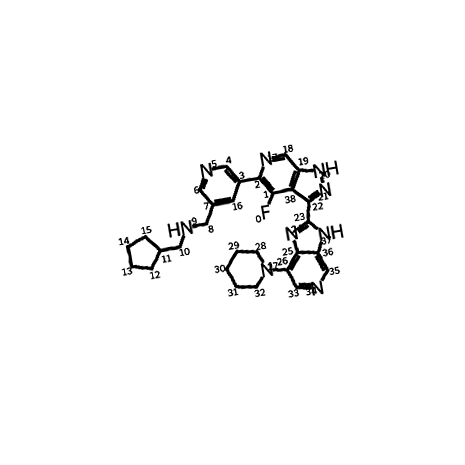 Fc1c(-c2cncc(CNCC3CCCC3)c2)ncc2[nH]nc(-c3nc4c(N5CCCCC5)cncc4[nH]3)c12